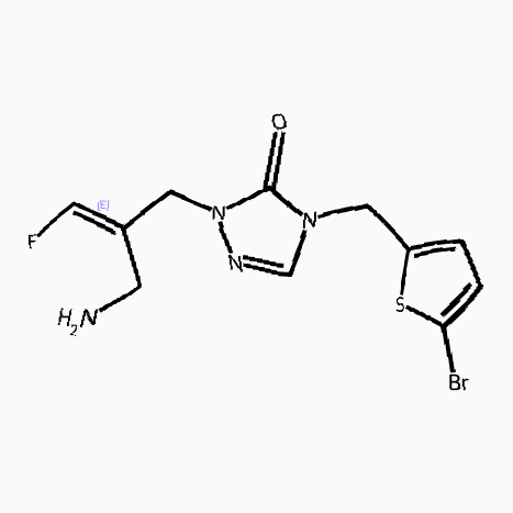 NC/C(=C\F)Cn1ncn(Cc2ccc(Br)s2)c1=O